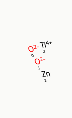 [O-2].[O-2].[Ti+4].[Zn]